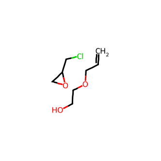 C=CCOCCO.ClCC1CO1